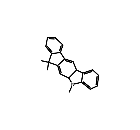 CN1c2ccccc2C2C=C3C(=CC21)C(C)(C)c1ccccc13